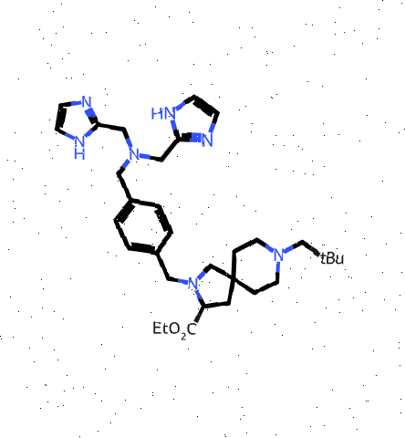 CCOC(=O)C1CC2(CCN(CC(C)(C)C)CC2)CN1Cc1ccc(CN(Cc2ncc[nH]2)Cc2ncc[nH]2)cc1